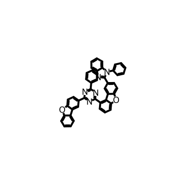 c1ccc(-c2nc(-c3ccc4oc5ccccc5c4c3)nc(-c3cccc4oc5ccc(-c6nc7ccccc7n6-c6ccccc6)cc5c34)n2)cc1